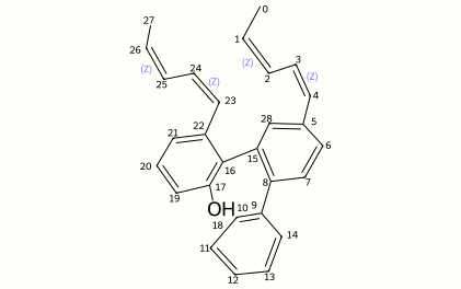 C/C=C\C=C/c1ccc(-c2ccccc2)c(-c2c(O)cccc2/C=C\C=C/C)c1